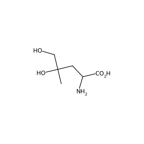 CC(O)(CO)CC(N)C(=O)O